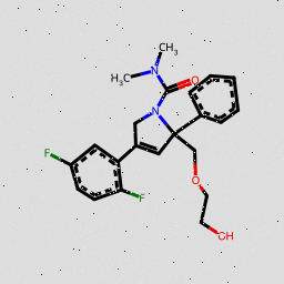 CN(C)C(=O)N1CC(c2cc(F)ccc2F)=CC1(COCCO)c1ccccc1